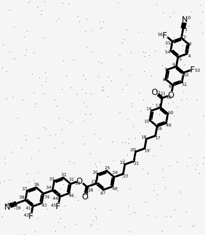 N#Cc1ccc(-c2ccc(OC(=O)c3ccc(CCCCCCCc4ccc(C(=O)Oc5ccc(-c6ccc(C#N)c(F)c6)c(F)c5)cc4)cc3)cc2F)cc1F